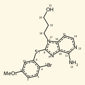 COc1ccc(Br)c(Sc2nc3c(N)nccc3n2CCCO)c1